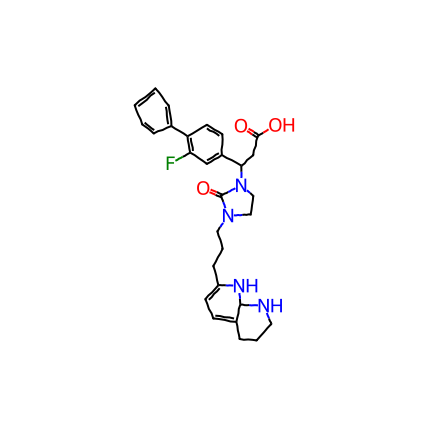 O=C(O)CC(c1ccc(-c2ccccc2)c(F)c1)N1CCN(CCCC2=CC=C3CCCNC3N2)C1=O